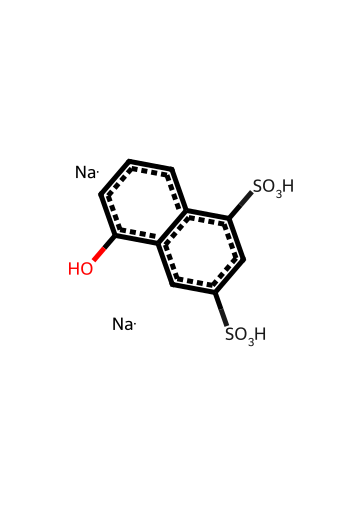 O=S(=O)(O)c1cc(S(=O)(=O)O)c2cccc(O)c2c1.[Na].[Na]